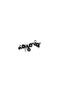 O=C(Nc1cccc(CC2(C(=O)O)CC2)c1)C(c1ccc(CN2Cc3cc(F)c(F)cc3C2=O)cc1)C1CCCC1